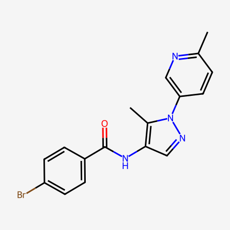 Cc1ccc(-n2ncc(NC(=O)c3ccc(Br)cc3)c2C)cn1